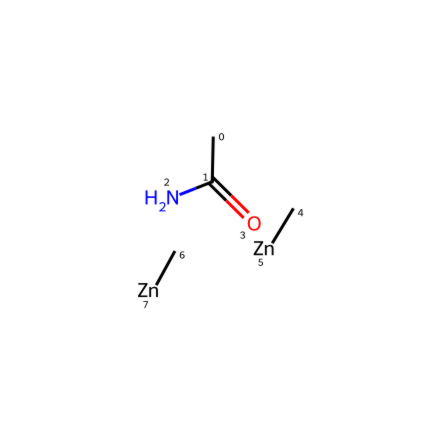 CC(N)=O.[CH3][Zn].[CH3][Zn]